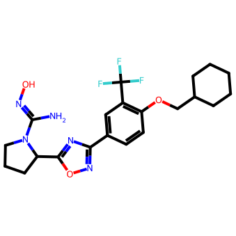 N/C(=N\O)N1CCCC1c1nc(-c2ccc(OCC3CCCCC3)c(C(F)(F)F)c2)no1